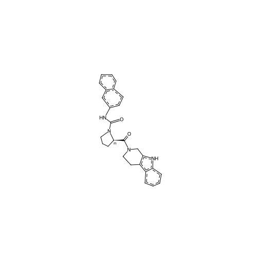 O=C([C@H]1CCCN1C(=O)Nc1ccc2ccccc2c1)N1CCc2c([nH]c3ccccc23)C1